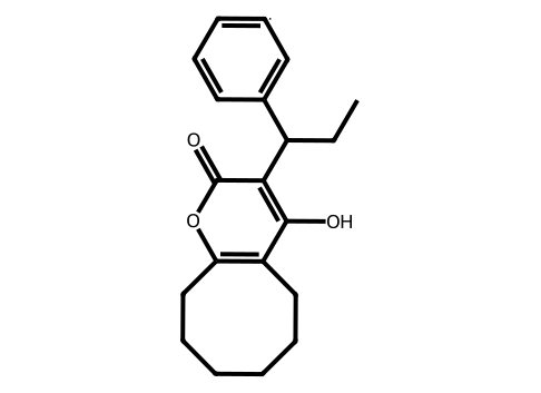 CCC(c1c[c]ccc1)c1c(O)c2c(oc1=O)CCCCCC2